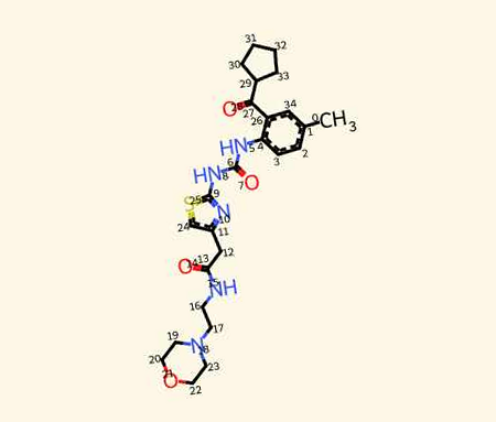 Cc1ccc(NC(=O)Nc2nc(CC(=O)NCCN3CCOCC3)cs2)c(C(=O)C2CCCC2)c1